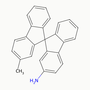 Cc1ccc2c(c1)C1(c3ccccc3-2)c2ccccc2-c2ccc(N)cc21